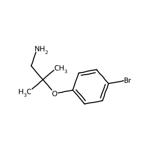 CC(C)(CN)Oc1ccc(Br)cc1